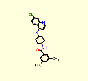 Cc1cc(C)cc(C(=O)NC2CCC(Nc3ccnc4cc(Cl)ccc34)CC2)c1